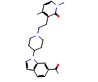 COc1ccn(C)c(=O)c1CCN1CCC(n2ccc3ccc(C(N)=O)cc32)CC1